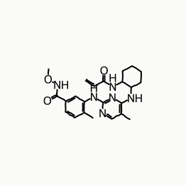 C=CC(=O)NC1CCCCC1Nc1nc(Nc2cc(C(=O)NOC)ccc2C)ncc1C